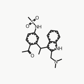 CC(=O)c1ccc(NS(C)(=O)=O)cc1C(C)c1c(CN(C)C)[nH]c2ccccc12